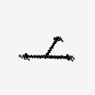 C=C(C)C(=O)OCCCCCCCCCCCCOCC(COCCCCCCCCCCCCOC(=O)C(=C)C)OCCCCCCCCCCCCOC(=O)C(=C)C